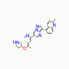 C=N/C(=C\C=C(/C)O[C@H]1CCNC1)c1cnc2c(-c3cccc4nc(C)ccc34)cnn2c1